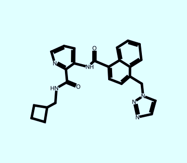 O=C(NCC1CCC1)c1ncccc1NC(=O)c1ccc(Cn2ccnn2)c2ccccc12